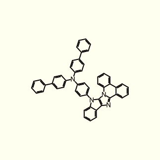 c1ccc(-c2ccc(N(c3ccc(-c4ccccc4)cc3)c3ccc(-n4c5ccccc5c5nc6c7ccccc7c7ccccc7n6c54)cc3)cc2)cc1